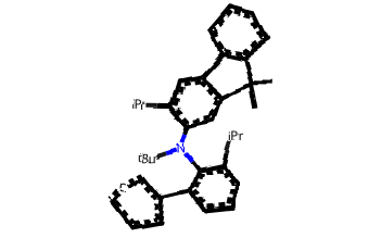 CC(C)c1cc2c(cc1N(c1c(-c3ccccc3)cccc1C(C)C)C(C)(C)C)C(C)(C)c1ccccc1-2